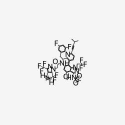 CC(C)C#Cc1ccc(-c2ccc(Cl)c3c(NS(C)(=O)=O)nn(CC(F)(F)F)c23)c(C(Cc2cc(F)cc(F)c2)NC(=O)Cn2nc(C(F)(F)F)c3c2C(F)(F)[C@@H]2C[C@H]32)n1